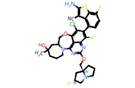 CC1(O)CCCN2c3nc(OC[C@@]45CCCN4C[C@H](F)C5)nc4c(F)c(-c5ccc(F)c6sc(N)c(C#N)c56)c(Cl)c(c34)OCC2C1